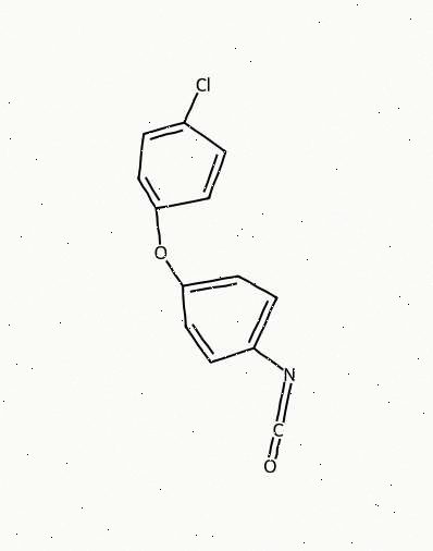 O=C=Nc1ccc(Oc2ccc(Cl)cc2)cc1